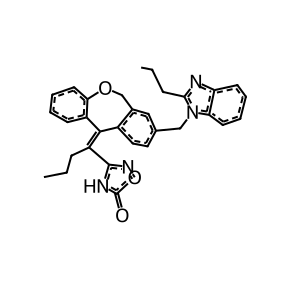 CCC/C(=C1/c2ccc(Cn3c(CCC)nc4ccccc43)cc2COc2ccccc21)c1noc(=O)[nH]1